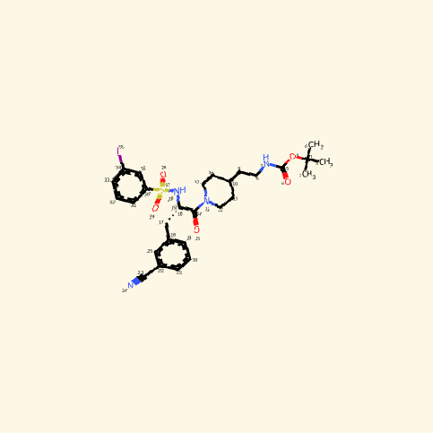 CC(C)(C)OC(=O)NCCC1CCN(C(=O)[C@H](Cc2cccc(C#N)c2)NS(=O)(=O)c2cccc(I)c2)CC1